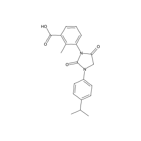 Cc1c(C(=O)O)cccc1N1C(=O)CN(c2ccc(C(C)C)cc2)C1=O